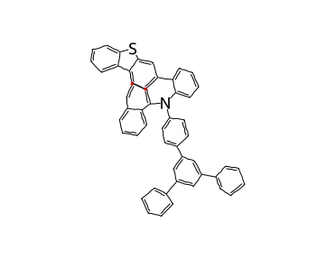 c1ccc(-c2cc(-c3ccccc3)cc(-c3ccc(N(c4ccccc4-c4ccc5c(c4)sc4ccccc45)c4cccc5ccccc45)cc3)c2)cc1